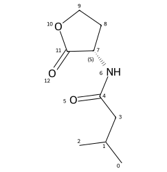 CC(C)CC(=O)N[C@H]1CCOC1=O